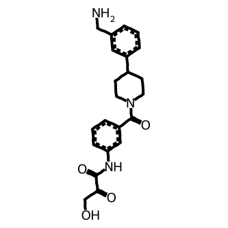 NCc1cccc(C2CCN(C(=O)c3cccc(NC(=O)C(=O)CO)c3)CC2)c1